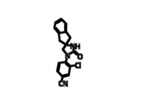 N#Cc1ccc(N2CC3(Cc4ccccc4C3)NC2=O)c(Cl)c1